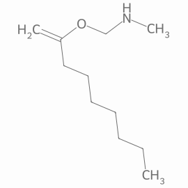 C=C(CCCCCCC)OCNC